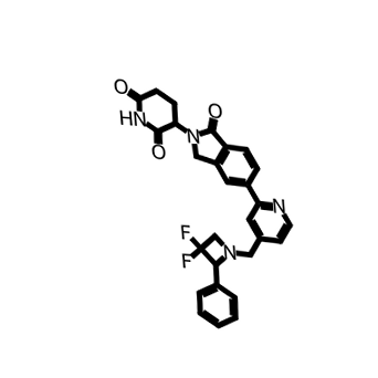 O=C1CCC(N2Cc3cc(-c4cc(CN5CC(F)(F)C5c5ccccc5)ccn4)ccc3C2=O)C(=O)N1